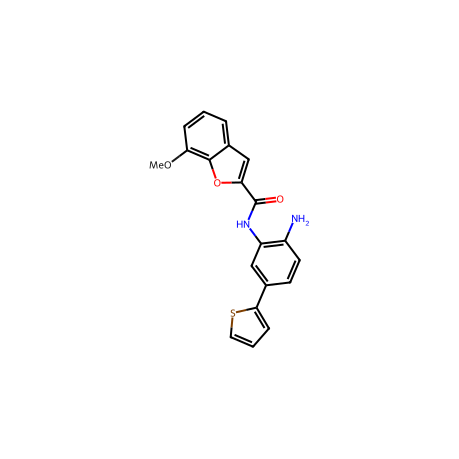 COc1cccc2cc(C(=O)Nc3cc(-c4cccs4)ccc3N)oc12